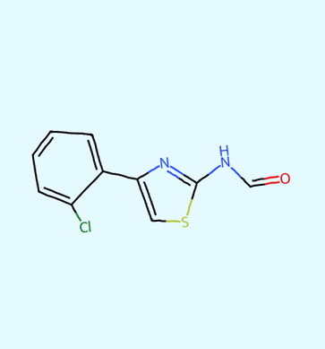 O=CNc1nc(-c2ccccc2Cl)cs1